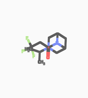 CC(C)N1CC2CC(C1)N2C(=O)CC(F)(F)F